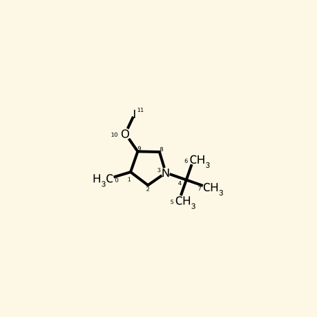 CC1CN(C(C)(C)C)CC1OI